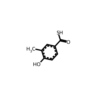 Cc1cc(C(=O)S)ccc1O